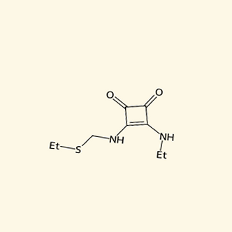 CCNc1c(NCSCC)c(=O)c1=O